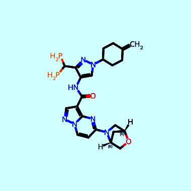 C=C1CCC(n2cc(NC(=O)c3cnn4ccc(N5C[C@H]6C[C@@H]5CO6)nc34)c(C(P)P)n2)CC1